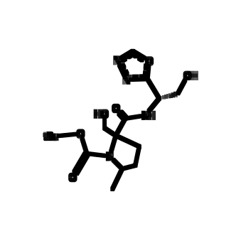 CC1CCC(CO)(C(=O)N[C@@H](CO)c2nnco2)N1C(=O)OC(C)(C)C